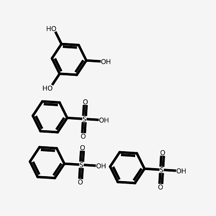 O=S(=O)(O)c1ccccc1.O=S(=O)(O)c1ccccc1.O=S(=O)(O)c1ccccc1.Oc1cc(O)cc(O)c1